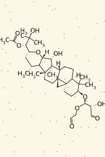 CC(=O)O[C@@H]([C@H]1C[C@@H](C)C2[C@H](O1)[C@H](O)[C@@]1(C)[C@@H]3CC[C@H]4C(C)(C)[C@@H](O[C@H](OCC=O)[C@H](O)C=O)CC[C@@]45C[C@@]35CC[C@]21C)C(C)(C)O